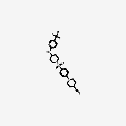 N#CC1CCN(c2ccc(S(=O)(=O)N3CCC(Nc4ccc(C(F)(F)F)cn4)CC3)cc2)CC1